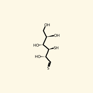 OC[C@@H](O)[C@@H](O)[C@@H](S)[C@@H](O)C=S